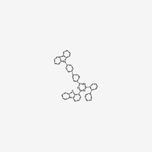 c1ccc(-c2ccccc2-c2nc(-c3ccc(-c4ccc(-n5c6ccccc6c6ccccc65)cc4)cc3)nc(-c3cccc4c3sc3ccccc34)n2)cc1